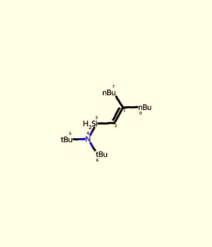 CCCCC(=C[SiH2]N(C(C)(C)C)C(C)(C)C)CCCC